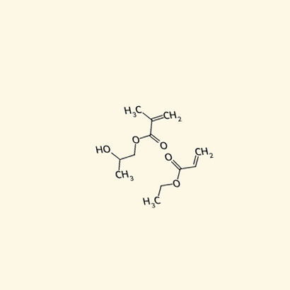 C=C(C)C(=O)OCC(C)O.C=CC(=O)OCC